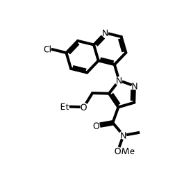 CCOCc1c(C(=O)N(C)OC)cnn1-c1ccnc2cc(Cl)ccc12